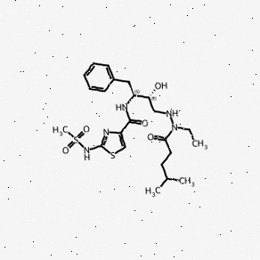 CCN(NC[C@@H](O)[C@H](Cc1ccccc1)NC(=O)c1csc(NS(C)(=O)=O)n1)C(=O)CCC(C)C